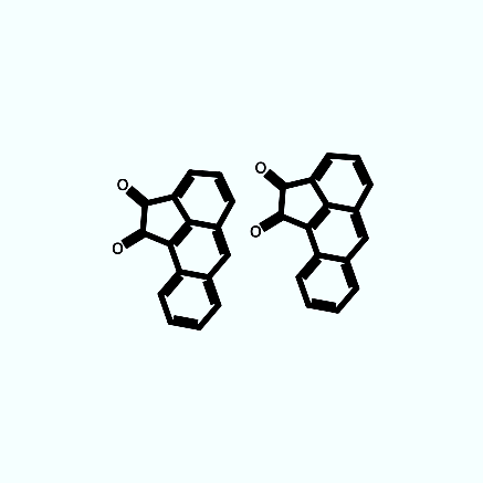 O=C1C(=O)c2c3ccccc3cc3cccc1c23.O=C1C(=O)c2c3ccccc3cc3cccc1c23